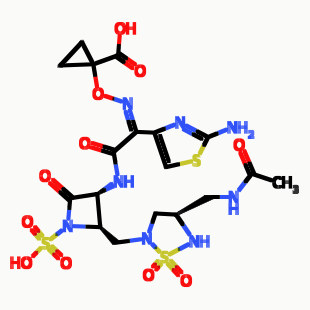 CC(=O)NC[C@@H]1CN(C[C@@H]2[C@H](NC(=O)/C(=N\OC3(C(=O)O)CC3)c3csc(N)n3)C(=O)N2S(=O)(=O)O)S(=O)(=O)N1